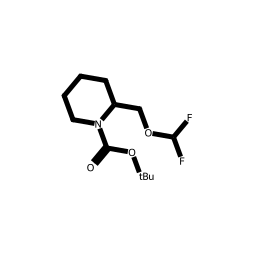 CC(C)(C)OC(=O)N1CCCCC1COC(F)F